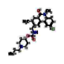 Cc1cc(C(=O)N(C)c2ccc(Cl)cc2)ccc1CNC(=O)OC1CCN(CCC(C)(C)C)CC1